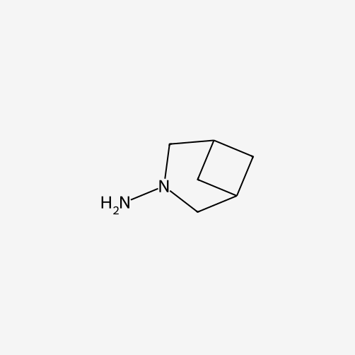 NN1CC2CC(C2)C1